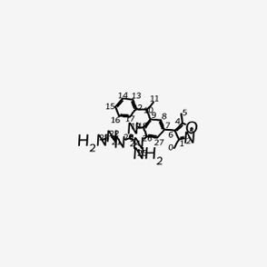 Cc1noc(C)c1-c1cc(C(C)c2ccccc2)c2nc(N=NN)n(N)c2c1